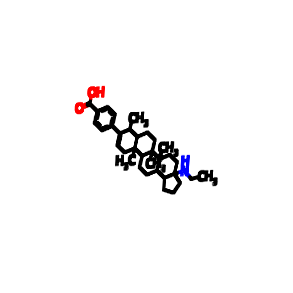 CCNC12CCCC1C1CCC3C4(C)CC=C(c5ccc(C(=O)O)cc5)C(C)C4CCC3(C)[C@]1(C)CC2